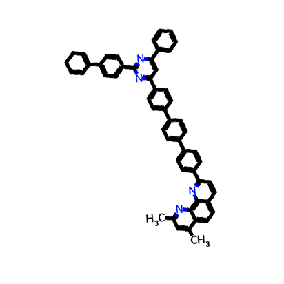 Cc1cc(C)c2ccc3ccc(-c4ccc(-c5ccc(-c6ccc(-c7cc(-c8ccccc8)nc(-c8ccc(C9=CCCC=C9)cc8)n7)cc6)cc5)cc4)nc3c2n1